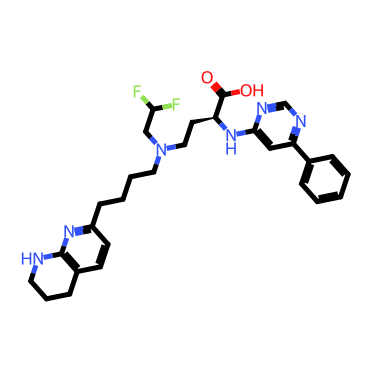 O=C(O)[C@H](CCN(CCCCc1ccc2c(n1)NCCC2)CC(F)F)Nc1cc(-c2ccccc2)ncn1